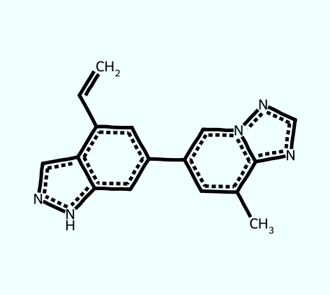 C=Cc1cc(-c2cc(C)c3ncnn3c2)cc2[nH]ncc12